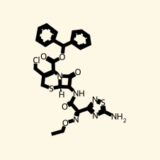 CCO/N=C(\C(=O)NC1C(=O)N2C(C(=O)OC(c3ccccc3)c3ccccc3)=C(CCl)CS[C@H]12)c1nsc(N)n1